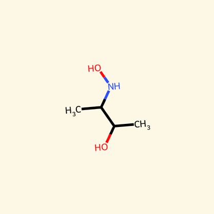 CC(O)C(C)NO